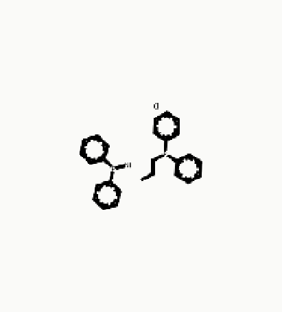 CCCP(c1ccccc1)c1ccccc1.[Cl-].[Ni+][P](c1ccccc1)c1ccccc1